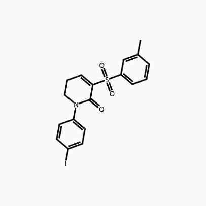 Cc1cccc(S(=O)(=O)C2=CCCN(c3ccc(I)cc3)C2=O)c1